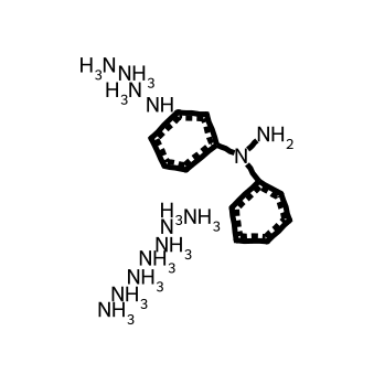 N.N.N.N.N.N.N.N.N.N.N.NN(c1ccccc1)c1ccccc1